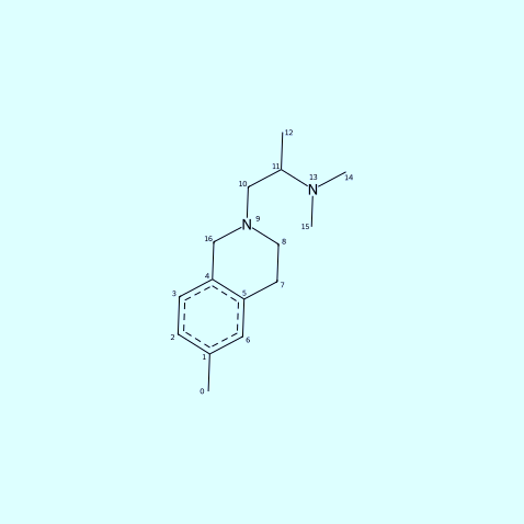 Cc1ccc2c(c1)CCN(CC(C)N(C)C)C2